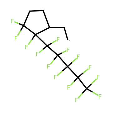 [CH2]CC1C[CH]C(F)(F)C1(F)C(F)(F)C(F)(F)C(F)(F)C(F)(F)C(F)(F)F